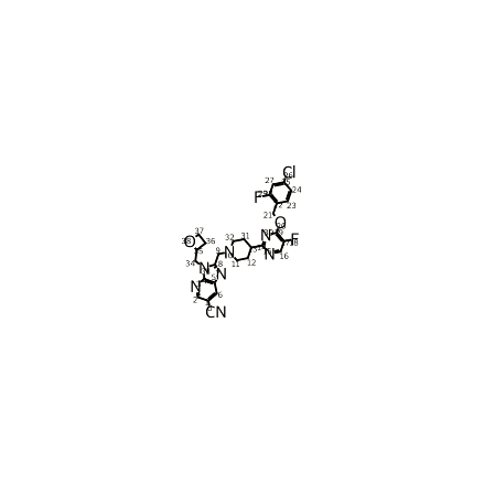 N#Cc1cnc2c(c1)nc(CN1CCC(c3ncc(F)c(OCc4ccc(Cl)cc4F)n3)CC1)n2CC1CCO1